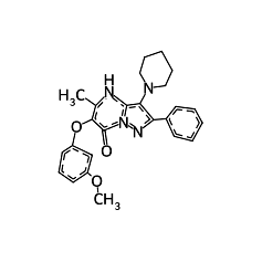 COc1cccc(Oc2c(C)[nH]c3c(N4CCCCC4)c(-c4ccccc4)nn3c2=O)c1